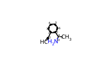 C#Cc1ccccc1[C@@H](C)N